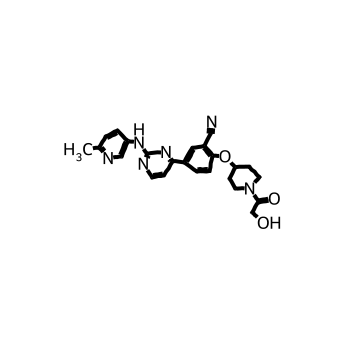 Cc1ccc(Nc2nccc(-c3ccc(OC4CCN(C(=O)CO)CC4)c(C#N)c3)n2)cn1